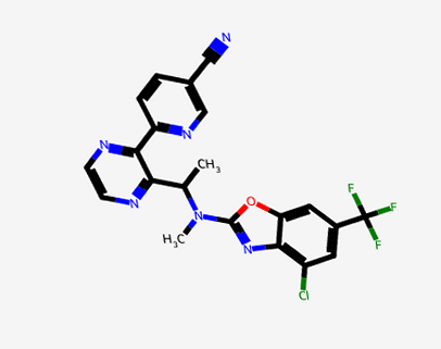 CC(c1nccnc1-c1ccc(C#N)cn1)N(C)c1nc2c(Cl)cc(C(F)(F)F)cc2o1